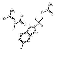 CCC(=O)O.Cc1ccc2sc(C(C)(C)C)nc2c1.NC(O)=S.NC(O)=S